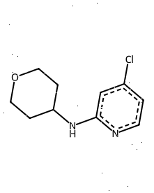 Clc1ccnc(NC2CCOCC2)c1